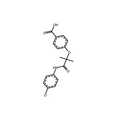 CC(C)(Oc1ccc(C(=O)O)cc1)C(=O)Nc1ccc(Cl)cc1